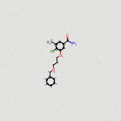 NC(=O)c1cc(OCCCOCc2ccccc2)c(Cl)c([N+](=O)[O-])c1